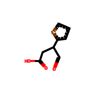 O=CC(CC(=O)O)c1cccs1